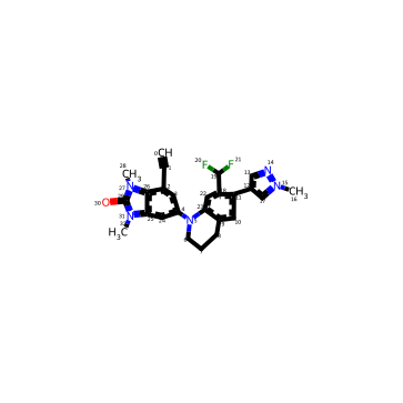 C#Cc1cc(N2CCCc3cc(-c4cnn(C)c4)c(C(F)F)cc32)cc2c1n(C)c(=O)n2C